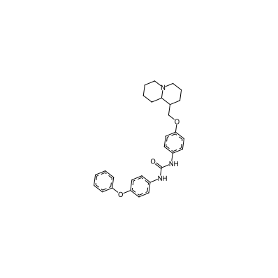 O=C(Nc1ccc(OCC2CCCN3CCCCC23)cc1)Nc1ccc(Oc2ccccc2)cc1